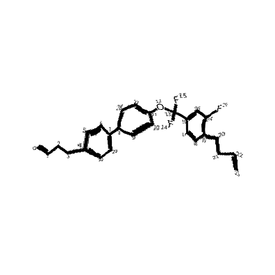 C=CCCc1ccc(-c2ccc(OC(F)(F)c3ccc(CCC=C)c(F)c3)cc2)cc1